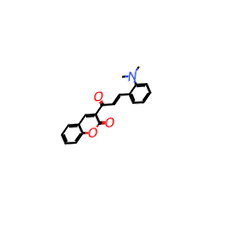 CN(C)c1ccccc1C=CC(=O)c1cc2ccccc2oc1=O